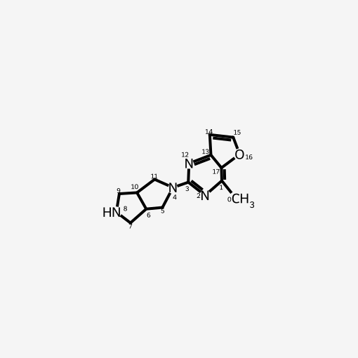 Cc1nc(N2CC3CNCC3C2)nc2ccoc12